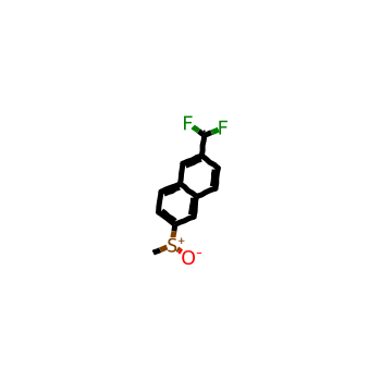 C[S+]([O-])c1ccc2cc([C](F)F)ccc2c1